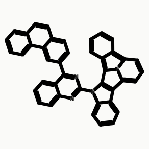 c1ccc2c(c1)ccc1ccc(-c3nc(-n4c5ccccc5c5c4c4c6ccccc6c6cccc5n64)nc4ccccc34)cc12